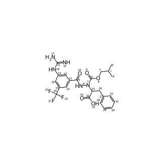 CC(C)COC(=O)N(NC(=O)c1cc(NC(=N)N)cc(C(F)(F)F)c1)C(Cc1ccccc1)C(=O)O